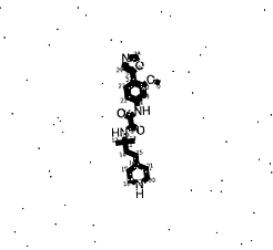 COc1cc(NC(=O)C(=O)NC(C)(C)CCC2CCNCC2)ccc1-c1cnco1